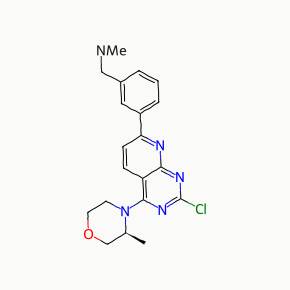 CNCc1cccc(-c2ccc3c(N4CCOC[C@@H]4C)nc(Cl)nc3n2)c1